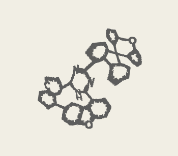 c1ccc(-c2ccc3oc4cccc(C5=NC(c6cccc7c6-c6ccccc6C76c7ccccc7Oc7ccccc76)=NC(c6ccccc6)N5)c4c3c2)cc1